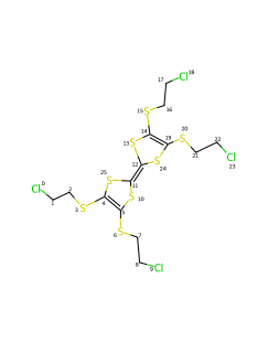 ClCCSC1=C(SCCCl)SC(=C2SC(SCCCl)=C(SCCCl)S2)S1